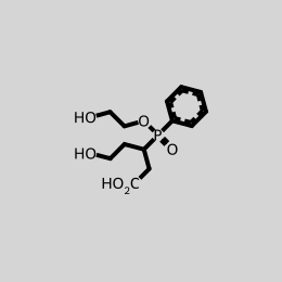 O=C(O)CC(CCO)P(=O)(OCCO)c1ccccc1